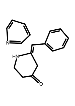 O=C1CCNC(=Cc2ccccc2)C1.c1ccncc1